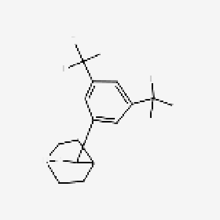 FC(F)(F)c1cc(C2CN3CCC2CC3)cc(C(F)(F)F)c1